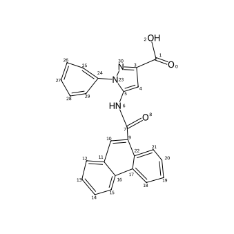 O=C(O)c1cc(NC(=O)c2cc3ccccc3c3ccccc23)n(-c2ccccc2)n1